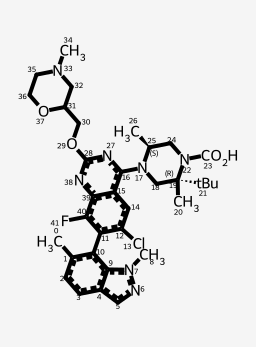 Cc1ccc2cnn(C)c2c1-c1c(Cl)cc2c(N3C[C@@](C)(C(C)(C)C)N(C(=O)O)C[C@@H]3C)nc(OCC3CN(C)CCO3)nc2c1F